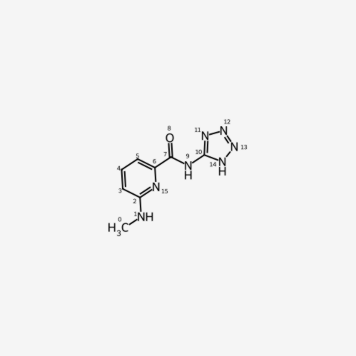 CNc1cccc(C(=O)Nc2nnn[nH]2)n1